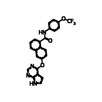 O=C(Nc1ccc(OC(F)(F)F)cc1)c1cccc2cc(Oc3ncnc4[nH]ccc34)ccc12